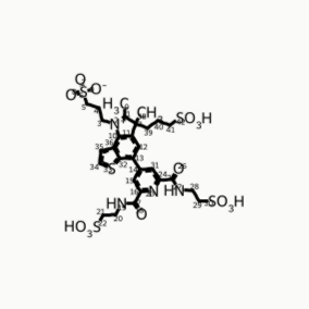 CC1=[N+](CCCS(=O)(=O)[O-])c2c(cc(-c3cc(C(=O)NCCS(=O)(=O)O)nc(C(=O)NCCS(=O)(=O)O)c3)c3sccc23)C1(C)CCCS(=O)(=O)O